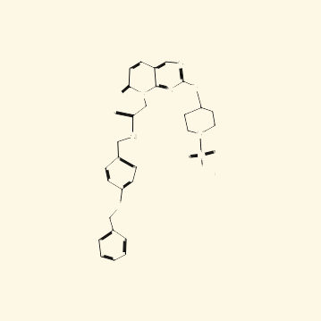 CS(=O)(=O)N1CCC(Nc2ncc3ccc(=O)n(CC(=O)NCc4ccc(SCc5ccccc5)cc4)c3n2)CC1